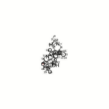 CCC1=C[C@@H]2CN(CCc3c([nH]c4ccccc34)[C@@](C(=O)OC)(c3cc4c(cc3OC)N(C)[C@H]3C(O)(CNC(C)=O)[C@H](OC(C)=O)[C@]5(CC)C=CCN6CC[C@]43C65)C2)C1